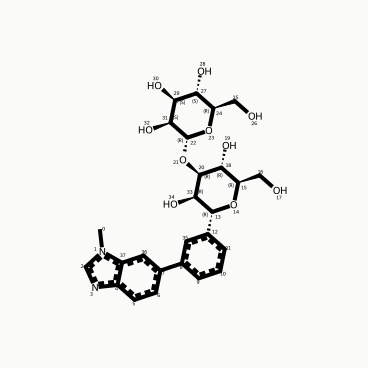 Cn1cnc2ccc(-c3cccc([C@H]4O[C@H](CO)[C@@H](O)[C@H](O[C@H]5O[C@H](CO)[C@@H](O)[C@H](O)[C@@H]5O)[C@@H]4O)c3)cc21